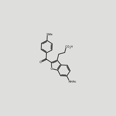 CSc1ccc(C(=O)c2oc3cc(NC(C)=O)ccc3c2CCC(=O)O)cc1